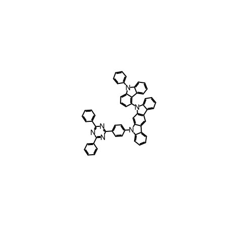 c1ccc(-c2nc(-c3ccccc3)nc(-c3ccc(-n4c5ccccc5c5cc6c7ccccc7n(-c7cccc8c7c7ccccc7n8-c7ccccc7)c6cc54)cc3)n2)cc1